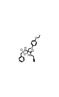 C#CCNC(=O)C(C)(COc1ccc(OCC)cc1)NS(=O)(=O)Cc1ccccc1